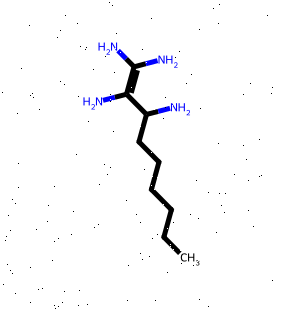 CCCCCCC(N)C(N)=C(N)N